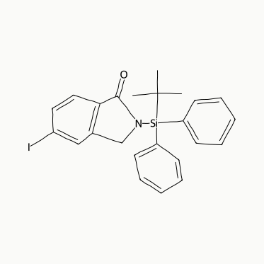 CC(C)(C)[Si](c1ccccc1)(c1ccccc1)N1Cc2cc(I)ccc2C1=O